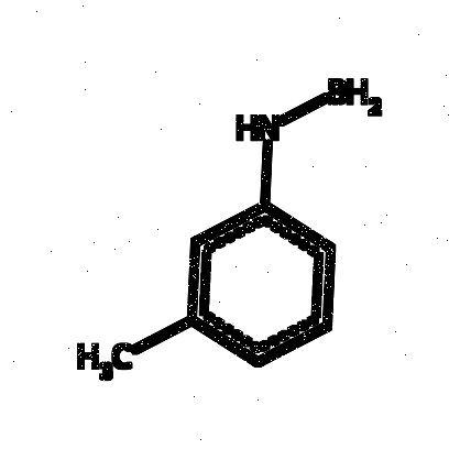 BNc1cccc(C)c1